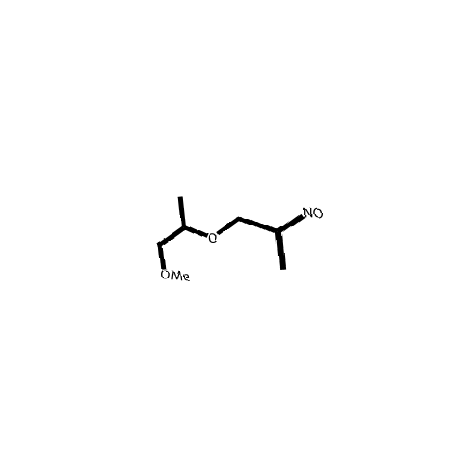 COCC(C)OCC(C)N=O